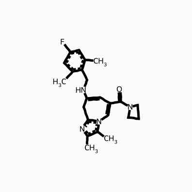 Cc1cc(F)cc(C)c1CNC1=CC(C(=O)N2CCC2)=Cn2c(nc(C)c2C)C1